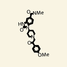 CNC(=O)c1ccc2c(c1)[nH]c(=O)n2C1CCN(CC(=O)c2ccc(OC)cc2)CC1